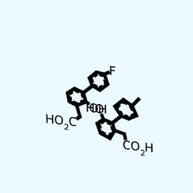 Cc1ccc(-c2c(O)cccc2CC(=O)O)cc1.O=C(O)Cc1cccc(-c2ccc(F)cc2)c1O